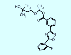 CC(OCCC(C)(C)O)OC(=O)c1cccc(-c2noc(-c3ccccc3F)n2)c1